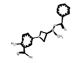 Cc1ccc(N2CC(N(C)OC(=O)c3ccccc3)C2)cc1C(=O)O